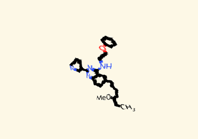 C\C=C(/C=C\C=C\c1ccc2nc(-c3cccnc3)nc(NCCOc3ccccc3)c2c1)OC